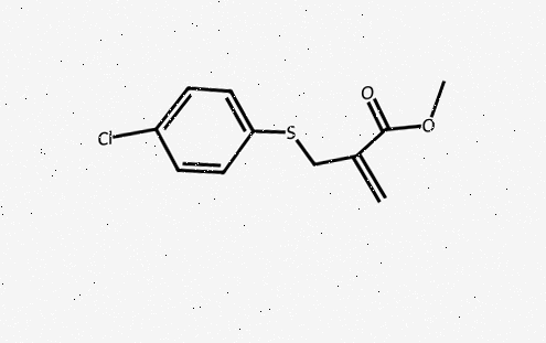 C=C(CSc1ccc(Cl)cc1)C(=O)OC